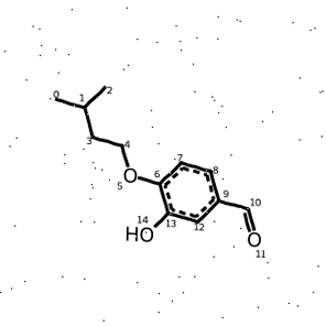 CC(C)CCOc1ccc(C=O)cc1O